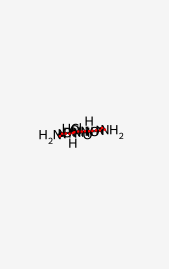 Cl.N[C@H]1CCN(CCOCCNC(=O)NCCCCNC(=O)NCCOCCN2CC[C@H](N)C2)C1